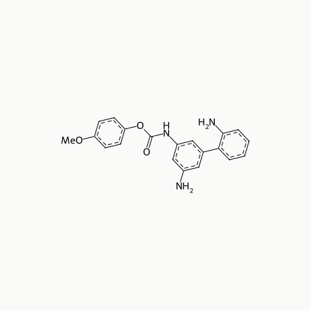 COc1ccc(OC(=O)Nc2cc(N)cc(-c3ccccc3N)c2)cc1